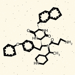 CC(C1CCNCC1)N(C(=O)CCN)C(Cc1ccc(Oc2ccccc2)cc1)[C@@H]1NC(=O)[C@H](Cc2ccc3ccccc3c2)NC1=O